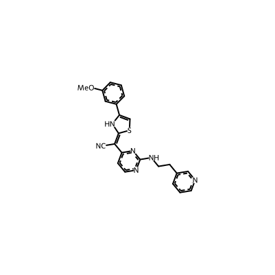 COc1cccc(C2=CSC(=C(C#N)c3ccnc(NCCc4cccnc4)n3)N2)c1